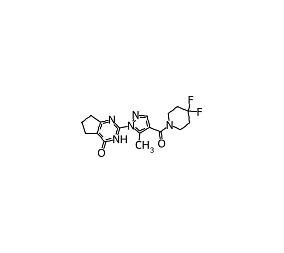 Cc1c(C(=O)N2CCC(F)(F)CC2)cnn1-c1nc2c(c(=O)[nH]1)CCC2